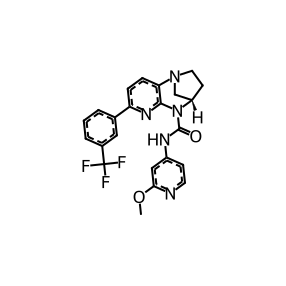 COc1cc(NC(=O)N2c3nc(-c4cccc(C(F)(F)F)c4)ccc3N3CC[C@H]2C3)ccn1